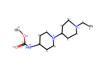 CC(C)CN1CCC(N2CCC(NC(=O)OC(C)(C)C)CC2)CC1